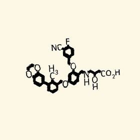 Cc1c(COc2ccc(CNCC(O)CC(=O)O)c(OCc3ccc(F)c(C#N)c3)c2)cccc1-c1ccc2c(c1)OCCO2